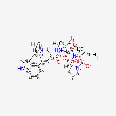 CC(C)[C@H]1C(=O)N2CCC[C@H]2[C@]2(O)O[C@](NC(=O)[C@@H]3C=C4c5cccc6[nH]cc(c56)C[C@@H]4N(C)C3)(C(C)C)C(=O)N12